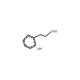 O=CCCc1ccccc1.[LiH]